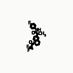 CC(C(=O)Nc1ccc(F)cc1)c1ccc2c(c1)CCCN2C(=O)C1CC1(F)F